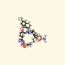 C[C@@H]1[C@@H](C)C/C=C/[C@@H]([C@H]2OC[C@@H](N(C)C)CO2)[C@@H]2CC[C@H]2CN2C[C@@]3(CCCc4cc(Cl)ccc43)COc3ccc(cc32)C(=O)NS1(=O)=O